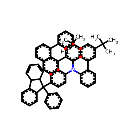 CC(C)(C)c1cc(-c2ccccc2N(c2ccc(C3(c4ccccc4)c4ccccc4C4C=CC=CC43)cc2)c2ccccc2-c2cccc3cccc(-c4ccccc4)c23)cc(C(C)(C)C)c1